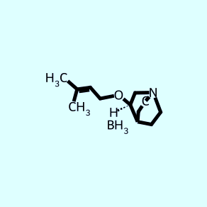 B.CC(C)=CCO[C@H]1CN2CCC1CC2